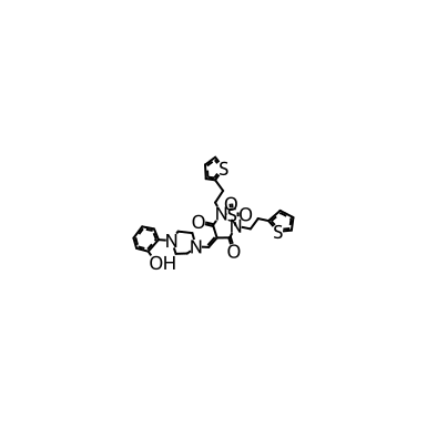 O=C1C(=CN2CCN(c3ccccc3O)CC2)C(=O)N(CCc2cccs2)S(=O)(=O)N1CCc1cccs1